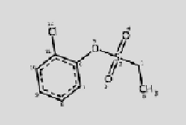 CCS(=O)(=O)Oc1ccccc1Cl